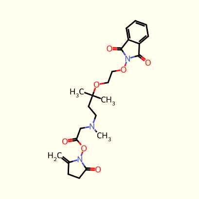 C=C1CCC(=O)N1OC(=O)CN(C)CCC(C)(C)OCCON1C(=O)c2ccccc2C1=O